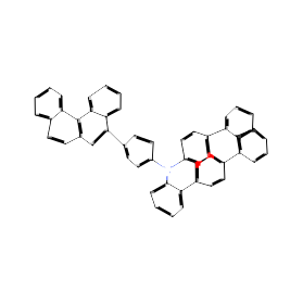 c1ccc(-c2ccc(-c3ccccc3N(c3ccc(-c4ccccc4)cc3)c3ccc(-c4cc5ccc6ccccc6c5c5ccccc45)cc3)cc2)cc1